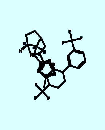 Cc1noc(N2CC3CC[C@@H](C2)[C@@H]3Nc2nc3n(n2)C(C(F)(F)F)CCC3c2cccc(C(F)(F)F)c2)n1